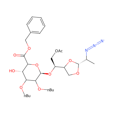 CCCCOC1C(OCCCC)[C@H](O)C(C(=O)OCc2ccccc2)O[C@H]1O[C@@H](COC(C)=O)C1CO[C@@H](C(C)N=[N+]=[N-])O1